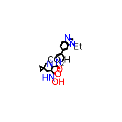 CCn1cnc2ccc(C3=CCN(C(=O)C4C(C(=O)NO)CC5(CC5)CN4C(=O)O)CC3)cc21